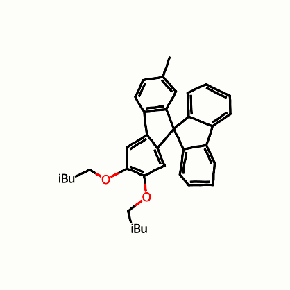 CCC(C)COc1cc2c(cc1OCC(C)CC)C1(c3ccccc3-c3ccccc31)c1cc(C)ccc1-2